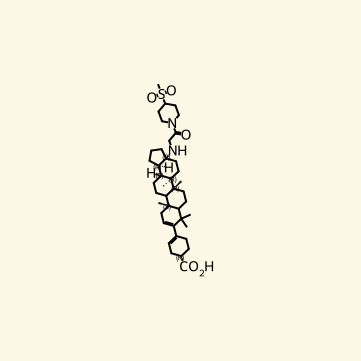 CC1(C)C(C2=CC[C@H](C(=O)O)CC2)=CC[C@@]2(C)C1CC[C@]1(C)C2CC[C@@H]2[C@H]3CCC[C@]3(NCC(=O)N3CCC(S(C)(=O)=O)CC3)CC[C@]21C